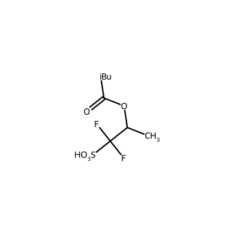 CCC(C)C(=O)OC(C)C(F)(F)S(=O)(=O)O